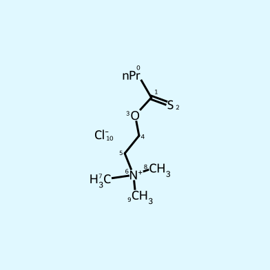 CCCC(=S)OCC[N+](C)(C)C.[Cl-]